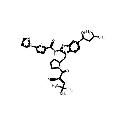 CC(C)CC(O)c1ccc2c(c1)nc(NC(=O)c1ccc(-n3cccn3)s1)n2CC1CCCN1C(=O)C(C#N)=CC(C)(C)C